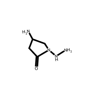 NNN1CC(N)CC1=O